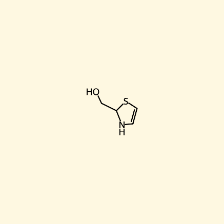 OCC1NC=CS1